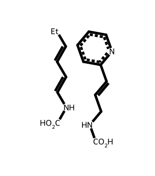 CCC=CC=CNC(=O)O.O=C(O)NCC=Cc1ccccn1